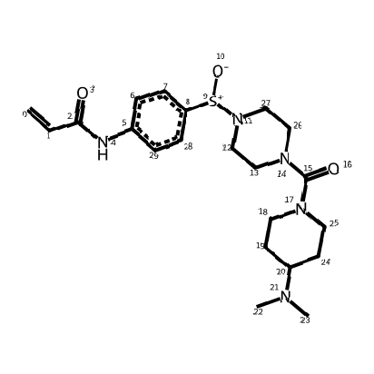 C=CC(=O)Nc1ccc([S+]([O-])N2CCN(C(=O)N3CCC(N(C)C)CC3)CC2)cc1